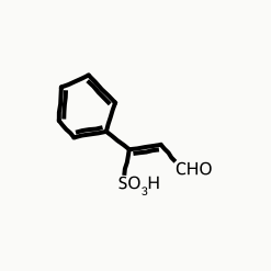 O=CC=C(c1ccccc1)S(=O)(=O)O